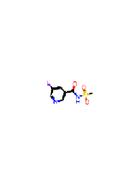 CS(=O)(=O)NC(=O)c1cncc(I)c1